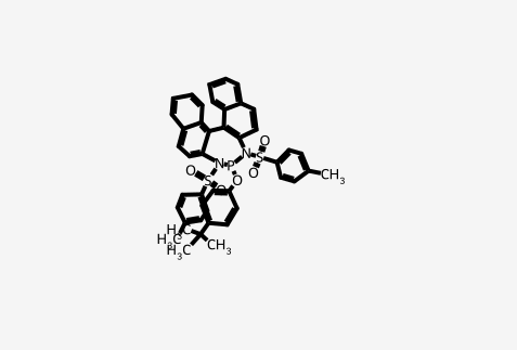 Cc1ccc(S(=O)(=O)n2c3ccc4ccccc4c3c3c4ccccc4ccc3n(S(=O)(=O)c3ccc(C)cc3)p2Oc2ccc(C(C)(C)C)cc2)cc1